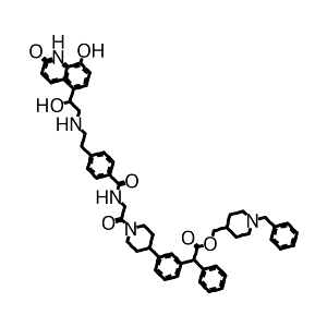 O=C(NCC(=O)N1CCC(c2cccc(C(C(=O)OCC3CCN(Cc4ccccc4)CC3)c3ccccc3)c2)CC1)c1ccc(CCNCC(O)c2ccc(O)c3[nH]c(=O)ccc23)cc1